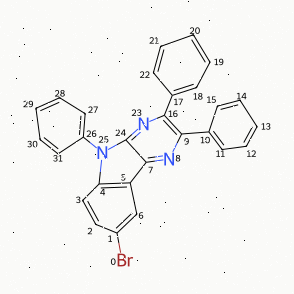 Brc1ccc2c(c1)c1nc(-c3ccccc3)c(-c3ccccc3)nc1n2-c1ccccc1